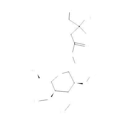 CCCCO[C@@H]1[C@@H](OCCCC)[C@H](O[C@H](C)CCC)O[C@H](COC(=O)CC(C)(O)CC(=O)O)[C@H]1OCCCC